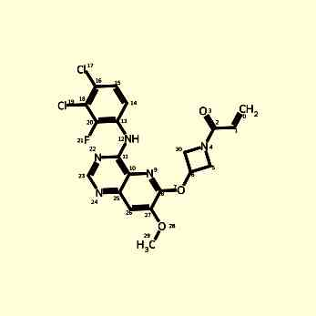 C=CC(=O)N1CC(Oc2nc3c(Nc4ccc(Cl)c(Cl)c4F)ncnc3cc2OC)C1